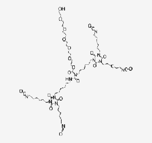 O=C=NCCCCCCn1c(=O)n(CCCCCCN=C=O)c(=O)n(CCCCCCNC(=O)N(CCCCCCn2c(=O)n(CCCCCCN=C=O)c(=O)n(CCCCCCN=C=O)c2=O)C(=O)OCCOCCOCCOCCOCCOCCO)c1=O